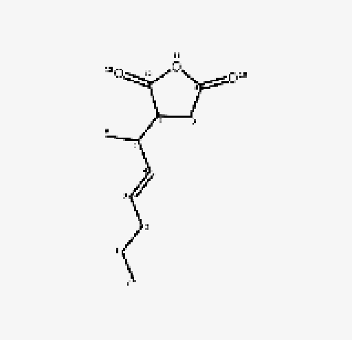 CCC/C=C/C(C)C1CC(=O)OC1=O